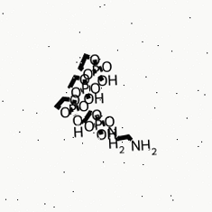 NCCN.O=P1(O)OCCO1.O=P1(O)OCCO1.O=P1(O)OCCO1.O=P1(O)OCCO1